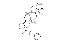 CC(=O)OC1CCC2(C)C(CCC3(C)C4CCC5(C(=O)OCc6ccccc6)CCCC5C4CCC32)C1(C)C